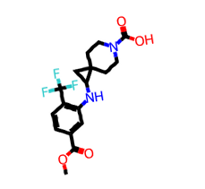 COC(=O)c1ccc(C(F)(F)F)c(NC2CC23CCN(C(=O)O)CC3)c1